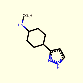 O=C(O)NC1CCC(c2cc[nH]n2)CC1